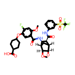 COc1cc(F)c(OC2CCC(C(=O)O)CC2)cc1C(=O)N[C@@H]1[C@@H]2C[C@@H]([C@H]3OCO[C@@H]23)[C@@H]1C(=O)Nc1cccc(S(=O)(=O)C(F)(F)F)c1